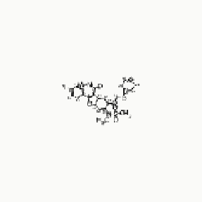 CNC(=O)c1c(-c2ccc(F)cc2)oc2cc(N(C)S(C)(=O)=O)c(OCCN3CCOCC3)cc12